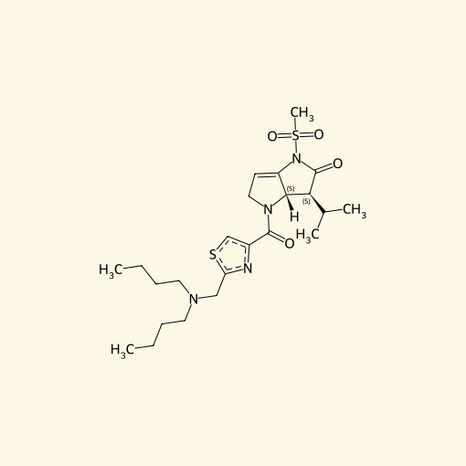 CCCCN(CCCC)Cc1nc(C(=O)N2CC=C3[C@@H]2[C@H](C(C)C)C(=O)N3S(C)(=O)=O)cs1